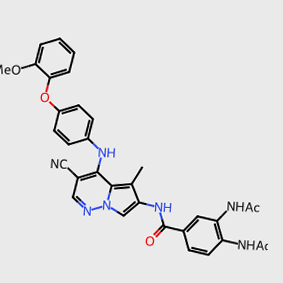 COc1ccccc1Oc1ccc(Nc2c(C#N)cnn3cc(NC(=O)c4ccc(NC(C)=O)c(NC(C)=O)c4)c(C)c23)cc1